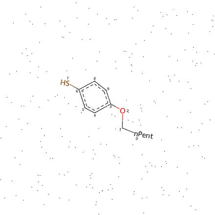 CCCCCCOc1ccc(S)cc1